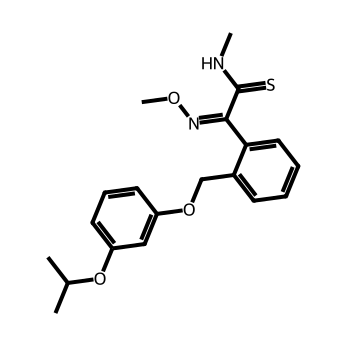 CNC(=S)C(=NOC)c1ccccc1COc1cccc(OC(C)C)c1